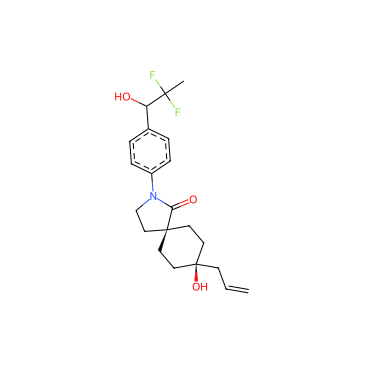 C=CC[C@]1(O)CC[C@]2(CCN(c3ccc(C(O)C(C)(F)F)cc3)C2=O)CC1